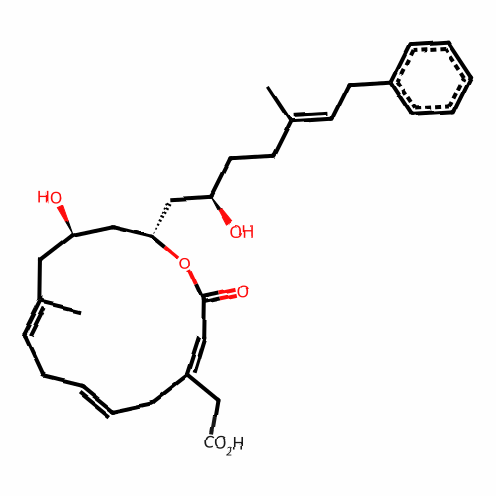 C/C(=C\Cc1ccccc1)CC[C@@H](O)C[C@H]1C[C@H](O)C/C(C)=C/C/C=C/C/C(CC(=O)O)=C\C(=O)O1